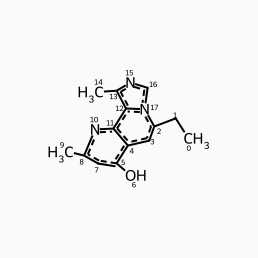 CCc1cc2c(O)cc(C)nc2c2c(C)ncn12